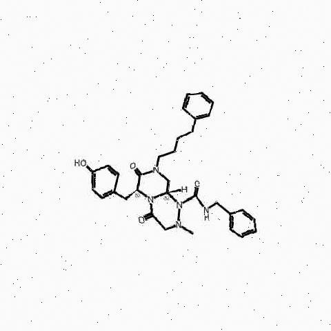 CN1CC(=O)N2[C@@H](Cc3ccc(O)cc3)C(=O)N(CCCCc3ccccc3)C[C@@H]2N1C(=O)NCc1ccccc1